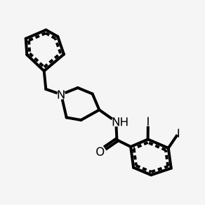 O=C(NC1CCN(Cc2ccccc2)CC1)c1cccc(I)c1I